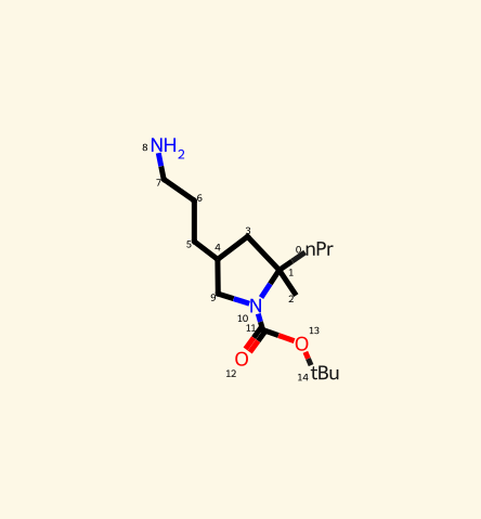 CCCC1(C)CC(CCCN)CN1C(=O)OC(C)(C)C